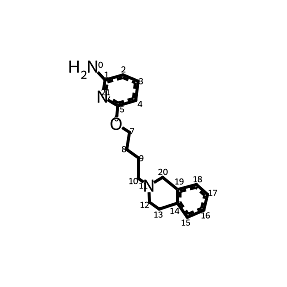 Nc1cccc(OCCCCN2CCc3ccccc3C2)n1